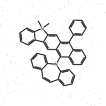 C[Si]1(C)c2ccccc2-c2cc3c(N4c5ccccc5C=Cc5ccccc54)c4ccccc4c(-c4ccccc4)c3cc21